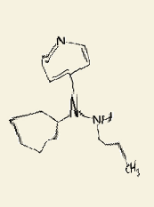 CCCNN(c1ccncc1)C1CCCCC1